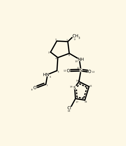 CC1CCC(CNC=O)C1NS(=O)(=O)c1ccc(Cl)s1